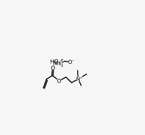 C=CC(=O)OCC[N+](C)(C)C.N.O=S(=O)([O-])O